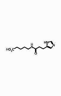 O=C(O)CCCCNC(=O)CCc1cnc[nH]1